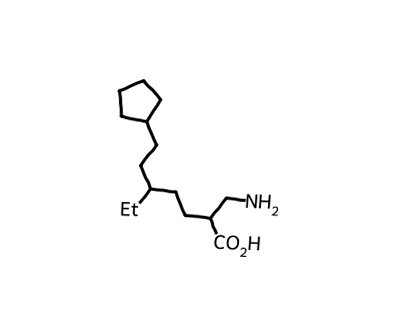 CCC(CCC1CCCC1)CCC(CN)C(=O)O